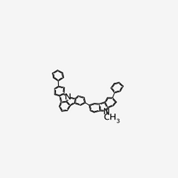 Cn1c2ccc(-c3ccccc3)cc2c2cc(-c3ccc4c(c3)c3cccc5c6ccc(-c7ccccc7)cc6n4c35)ccc21